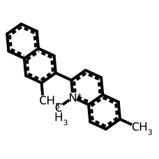 Cc1ccc2c(ccc(-c3cc4ccccc4cc3C)[n+]2C)c1